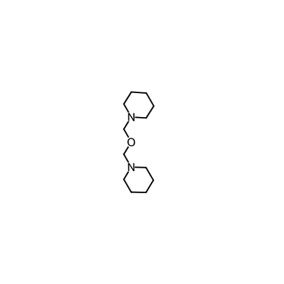 C1CCN(COCN2CCCCC2)CC1